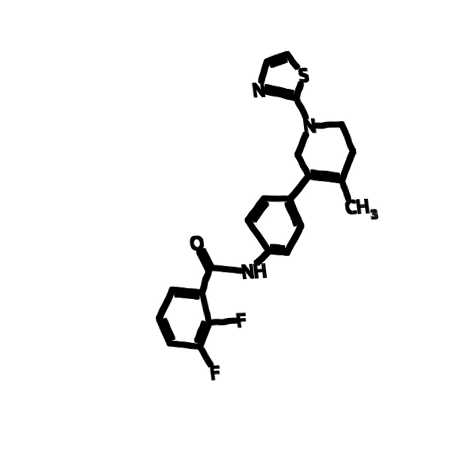 CC1=C(c2ccc(NC(=O)c3cccc(F)c3F)cc2)CN(c2nccs2)CC1